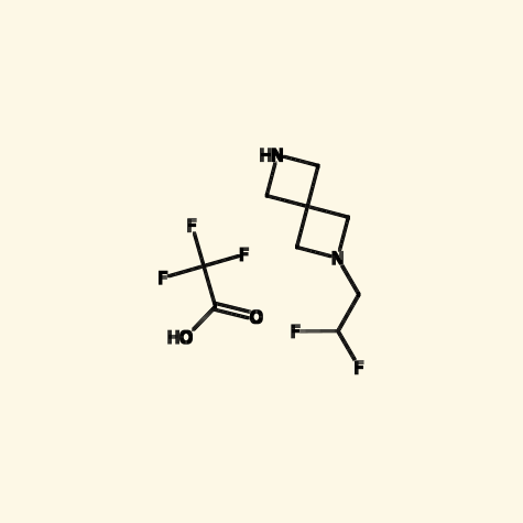 FC(F)CN1CC2(CNC2)C1.O=C(O)C(F)(F)F